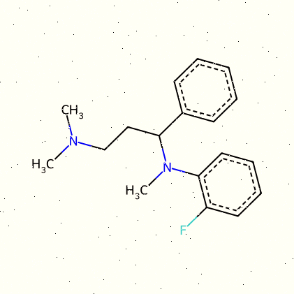 CN(C)CCC(c1ccccc1)N(C)c1ccccc1F